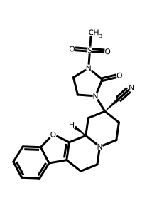 CS(=O)(=O)N1CCN([C@]2(C#N)CCN3CCc4c(oc5ccccc45)[C@@H]3C2)C1=O